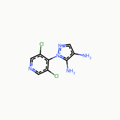 Nc1cnn(-c2c(Cl)cncc2Cl)c1N